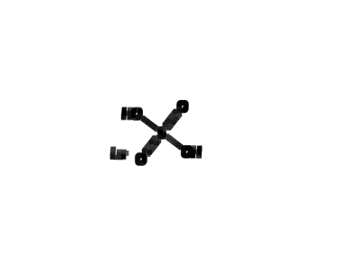 O=S(=O)(O)O.[Lu]